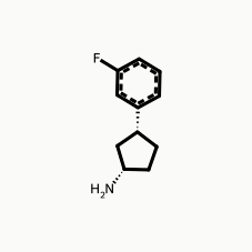 N[C@H]1CC[C@@H](c2cccc(F)c2)C1